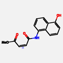 COC(=O)/C=C\C(=O)Nc1cccc2c(O)cccc12